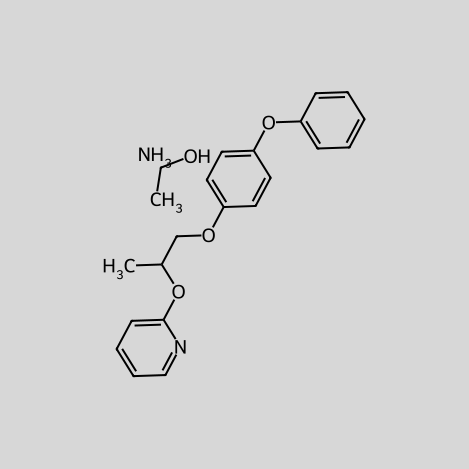 CC(COc1ccc(Oc2ccccc2)cc1)Oc1ccccn1.CCO.N